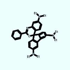 CCN(CC)c1ccc2c(c1)N=C(c1ccccc1)OC21c2ccc(N(CC)CC)cc2-c2cc(N(CC)CC)ccc21